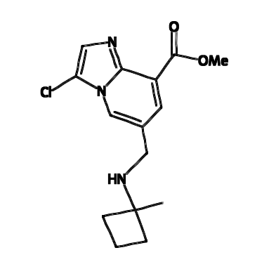 COC(=O)c1cc(CNC2(C)CCC2)cn2c(Cl)cnc12